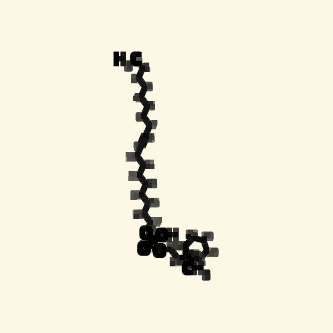 CCCCCCCCC#CCCCCCCCCOP(=O)(O)OCC[N+]1(C)CCCCC1